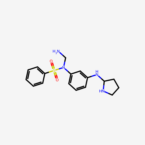 NCN(c1cccc(NC2CCCN2)c1)S(=O)(=O)c1ccccc1